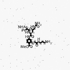 COC(=O)c1ccc(NC(=O)[C@H](CCCNC(N)=O)NC(=O)[C@@H](NC(C)=O)C(C)C)cc1OCC(=O)NCCCN